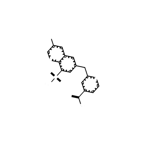 CS(=O)(=O)c1cc(Cc2cc(C(N)=O)ccn2)cc2cc(Cl)cnc12